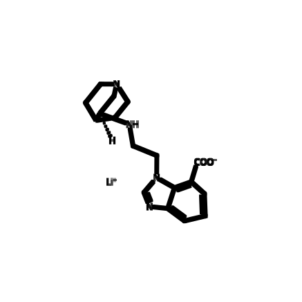 O=C([O-])c1cccc2ncn(CCN[C@@H]3CN4CCC3CC4)c12.[Li+]